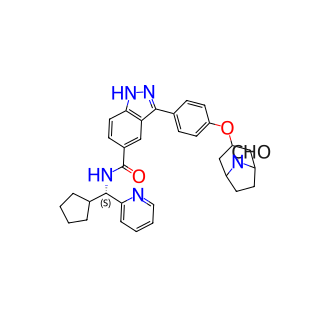 O=CN1C2CCC1CC(Oc1ccc(-c3n[nH]c4ccc(C(=O)N[C@H](c5ccccn5)C5CCCC5)cc34)cc1)C2